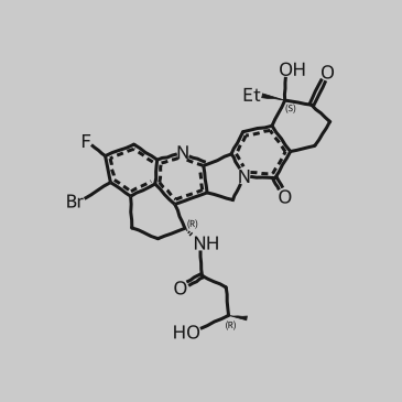 CC[C@@]1(O)C(=O)CCc2c1cc1n(c2=O)Cc2c-1nc1cc(F)c(Br)c3c1c2[C@H](NC(=O)C[C@@H](C)O)CC3